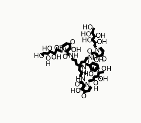 O=C(NC(CCCNC(=O)c1c(O)c(=O)ccn1C[C@H](O)C(O)[C@H](O)[C@H](O)CO)(CCCNC(=O)c1c(O)c(=O)ccn1C[C@H](O)[C@@H](O)[C@H](O)[C@H](O)CO)CCCNC(=O)c1c(O)c(=O)ccn1C[C@H](O)[C@@H](O)[C@H](O)[C@H](O)CO)c1ccccc1